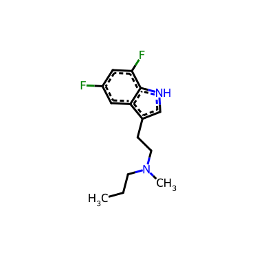 CCCN(C)CCc1c[nH]c2c(F)cc(F)cc12